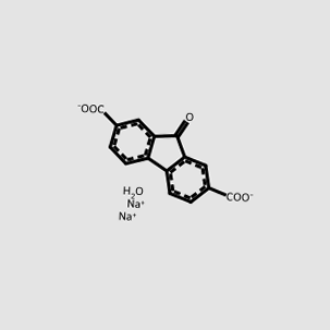 O.O=C([O-])c1ccc2c(c1)C(=O)c1cc(C(=O)[O-])ccc1-2.[Na+].[Na+]